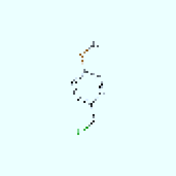 CCSc1ccc(CBr)cc1